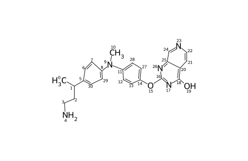 CC(CCN)c1ccc(N(C)c2ccc(Oc3nc(O)c4ccncc4n3)cc2)cc1